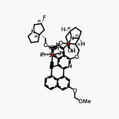 COCOc1cc(-c2nc3c4c(nc(OC[C@]56CCCN5C[C@H](F)C6)nc4c2F)N2C[C@H]4CC[C@@H]([C@H]2CO3)N4C(=O)OC(C)(C)C)c2c(C#C[Si](C(C)C)(C(C)C)C(C)C)cccc2c1